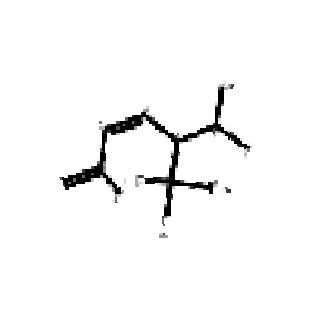 C=C(C)/C=C\C(C(C)C)C(F)(F)F